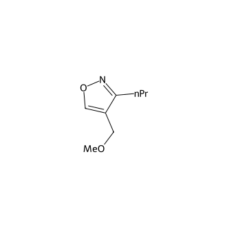 CCCc1nocc1COC